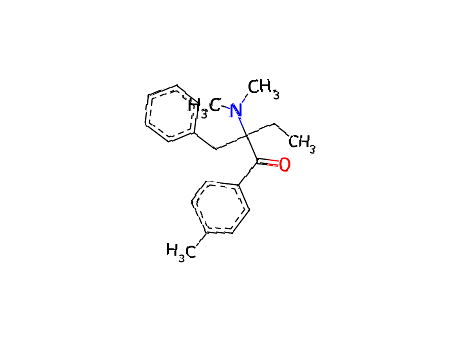 CCC(Cc1ccccc1)(C(=O)c1ccc(C)cc1)N(C)C